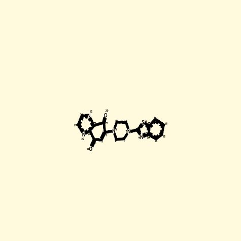 O=C1C=C(N2CCN(c3nc4ccccc4s3)CC2)C(=O)c2nccnc21